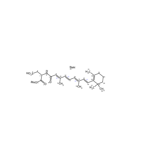 COC(=O)C(CS(=O)(=O)O)NC(=O)/C=C(C)/C=C/C=C(C)/C=C/C1=C(C)CCCC1(C)C.[NaH]